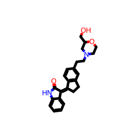 O=C1Nc2ccccc2/C1=C1\CCc2cc(CCN3CCOC(CO)C3)ccc21